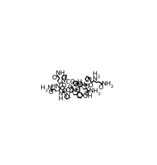 NC(=O)CC[C@H](NC(=O)[C@@H]1CCCN1C(=O)[C@H](Cc1ccc(O)cc1)NC(=O)[C@@H]1CCCN1C(=O)[C@H](CCC(N)=O)NC(=O)[C@@H]1CCCN1C(=O)[C@@H](N)CCC(N)=O)C(=O)N[C@@H](CCC(N)=O)C(=O)N1CCC[C@H]1C(=O)O